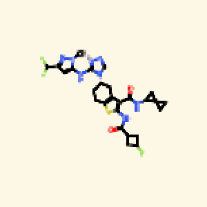 Cn1nc(C(F)F)cc1Nc1nncn1[C@H]1CCc2sc(NC(=O)C3CC(F)C3)c(C(=O)N[C@H]3CC34CC4)c2C1